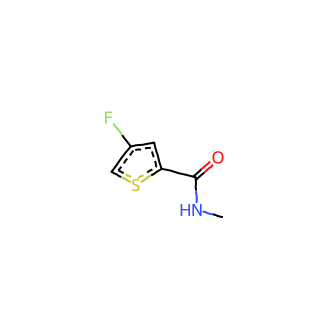 CNC(=O)c1cc(F)cs1